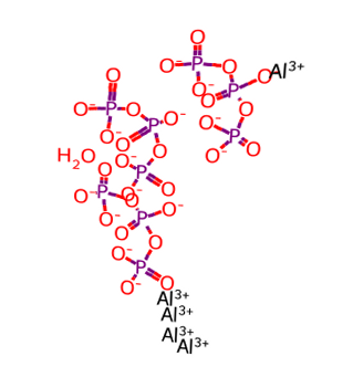 O.O=P([O-])([O-])OP(=O)([O-])OP(=O)([O-])[O-].O=P([O-])([O-])OP(=O)([O-])OP(=O)([O-])[O-].O=P([O-])([O-])OP(=O)([O-])OP(=O)([O-])[O-].[Al+3].[Al+3].[Al+3].[Al+3].[Al+3]